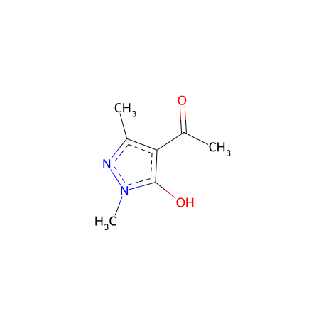 CC(=O)c1c(C)nn(C)c1O